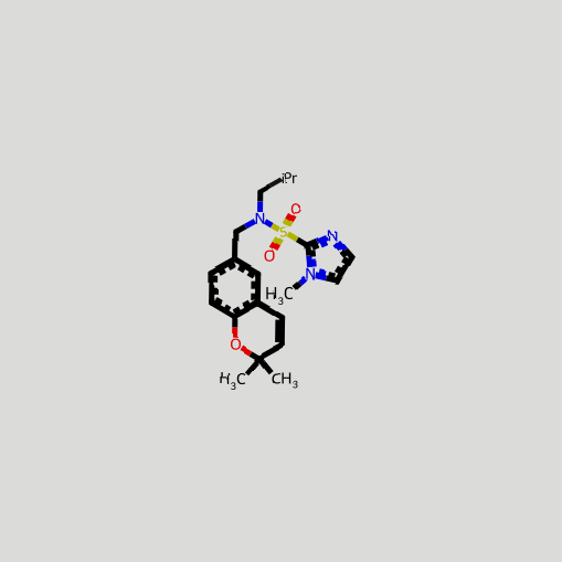 CC(C)CN(Cc1ccc2c(c1)C=CC(C)(C)O2)S(=O)(=O)c1nccn1C